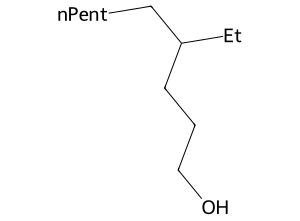 CCCCCCC(CC)CCCO